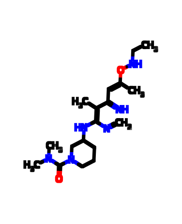 C=N/C(NC1CCCN(C(=O)N(C)C)C1)=C(/C)C(=N)/C=C(\C)ONCC